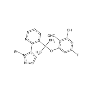 BC(B)(Oc1cc(F)cc(O)c1C=O)c1cccnc1-c1ccnn1C(C)C